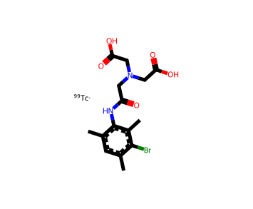 Cc1cc(C)c(NC(=O)CN(CC(=O)O)CC(=O)O)c(C)c1Br.[99Tc]